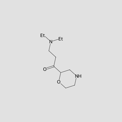 CCN(CC)CCC(=O)C1CNCCO1